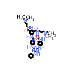 CCN(CC)CCCNC(=O)c1cc(NC(=O)c2ccc(Nc3nc(Nc4ccccc4)nc(Nc4ccc5[nH]c(=O)[nH]c5c4)n3)cc2)cc(C(=O)NCCCN(CC)CC)c1